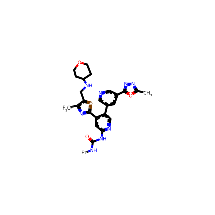 CCNC(=O)Nc1cc(-c2nc(C(F)(F)F)c(CNC3CCOCC3)s2)c(-c2cncc(-c3nnc(C)o3)c2)cn1